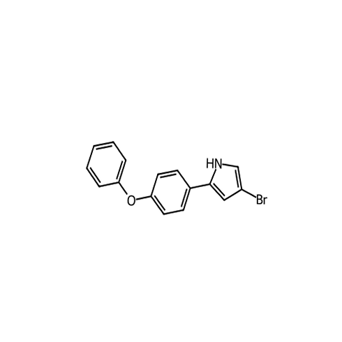 Brc1c[nH]c(-c2ccc(Oc3ccccc3)cc2)c1